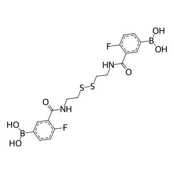 O=C(NCCSSCCNC(=O)c1cc(B(O)O)ccc1F)c1cc(B(O)O)ccc1F